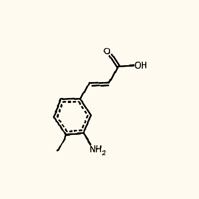 Cc1ccc(/C=C/C(=O)O)cc1N